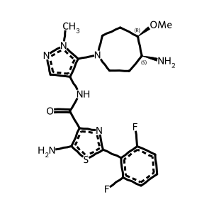 CO[C@@H]1CCN(c2c(NC(=O)c3nc(-c4c(F)cccc4F)sc3N)cnn2C)CC[C@@H]1N